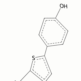 CC(=O)c1ccc(-c2ccc(O)cc2)s1